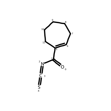 O=C(N=C=S)C1=CCCCCC1